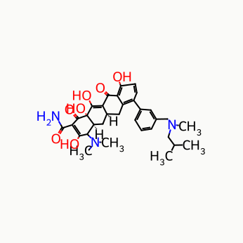 CC(C)CN(C)Cc1cccc(-c2ccc(O)c3c2C[C@H]2C[C@H]4C(N(C)C)C(O)=C(C(N)=O)C(=O)[C@@]4(O)C(O)=C2C3=O)c1